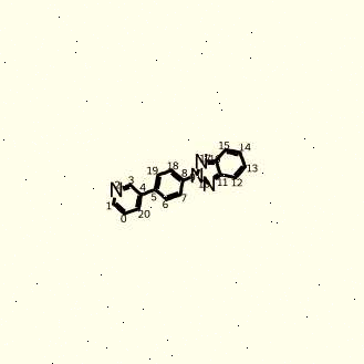 c1cncc(-c2ccc(-n3nc4ccccc4n3)cc2)c1